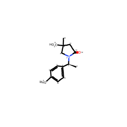 COc1ccc([C@H](C)N2CC(C)(C(=O)O)CC2=O)cc1